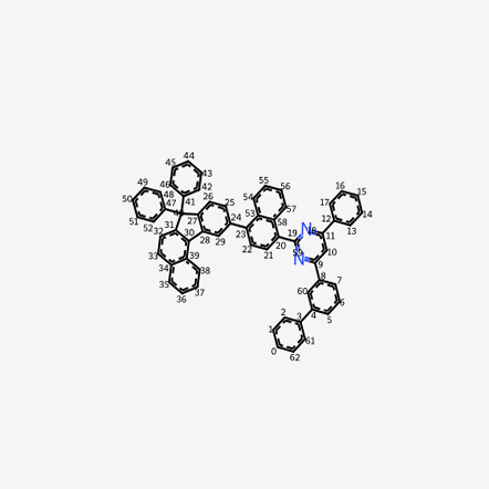 c1ccc(-c2cccc(-c3cc(-c4ccccc4)nc(-c4ccc(-c5ccc6c(c5)-c5c(ccc7ccccc57)C6(c5ccccc5)c5ccccc5)c5ccccc45)n3)c2)cc1